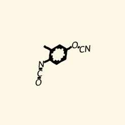 Cc1cc(OC#N)ccc1N=C=O